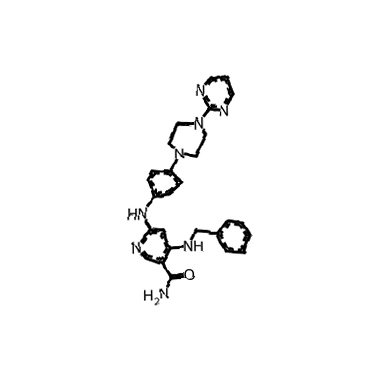 NC(=O)c1cnc(Nc2ccc(N3CCN(c4ncccn4)CC3)cc2)cc1NCc1ccccc1